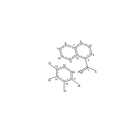 CC(=O)c1cccc2ccccc12.Cc1ccc(C)c(C)c1C